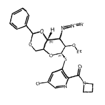 CCOC1C(N=[N+]=[N-])[C@H]2OC(c3ccccc3)OCC2O[C@@H]1Sc1cc(Cl)cnc1C(=O)N1CCC1